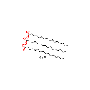 CCCCCCCCCCCCCCCC(=O)[O-].CCCCCCCCCCCCCCCC(=O)[O-].CCCCCCCCCCCCCCCC(=O)[O-].[Ga+3]